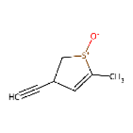 C#CC1C=C(C)[S+]([O-])C1